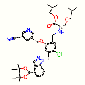 CC(C)COC[C@H](NCc1cc(Cl)c(Cn2ncc3c(B4OC(C)(C)C(C)(C)O4)cccc32)cc1OCc1cncc(C#N)c1)C(=O)OCC(C)C